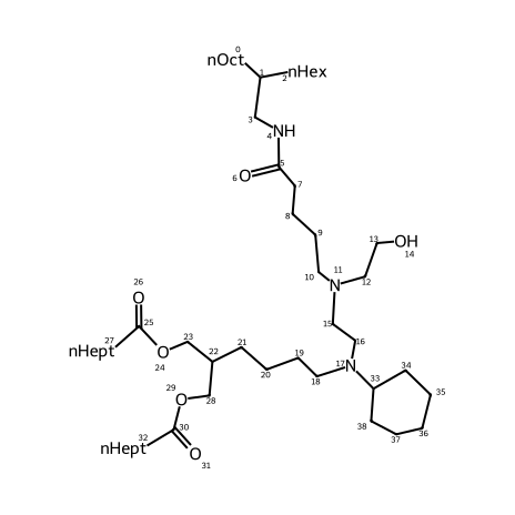 CCCCCCCCC(CCCCCC)CNC(=O)CCCCN(CCO)CCN(CCCCC(COC(=O)CCCCCCC)COC(=O)CCCCCCC)C1CCCCC1